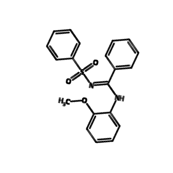 COc1ccccc1N/C(=N/S(=O)(=O)c1ccccc1)c1ccccc1